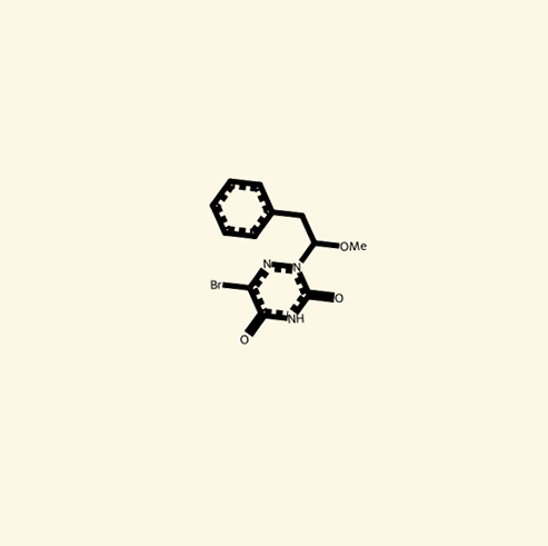 COC(Cc1ccccc1)n1nc(Br)c(=O)[nH]c1=O